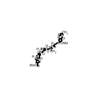 C=C1C[C@H]2C=Nc3cc(OCCCC(=O)Nc4cn(C)c(C(=O)Nc5cc(C(=O)Nc6cc(C(=O)n7ncc8cc(C(=O)OC)cnc87)n(C)c6)n(C)c5)n4)c(OC)cc3C(=O)N2C1